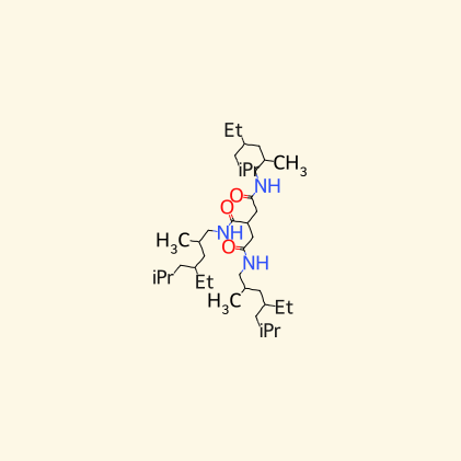 CCC(CC(C)C)CC(C)CNC(=O)CC(CC(=O)NCC(C)CC(CC)CC(C)C)C(=O)NCC(C)CC(CC)CC(C)C